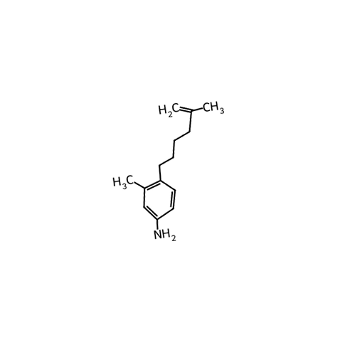 C=C(C)CCCCc1ccc(N)cc1C